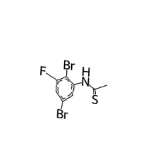 CC(=S)Nc1cc(Br)cc(F)c1Br